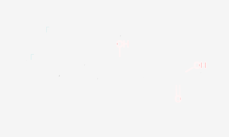 O=C(O)Cc1cccc(C2CC(F)(F)C2)c1O